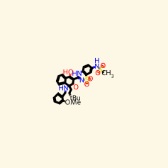 COc1ccccc1CNC1(CCC(C)(C)C)C(=O)C(C2=NS(=O)(=O)c3cc(NS(C)(=O)=O)ccc3N2)=C(O)c2ccccc21